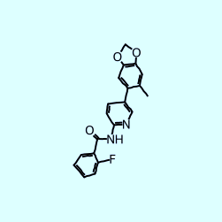 Cc1cc2c(cc1-c1ccc(NC(=O)c3ccccc3F)nc1)OCO2